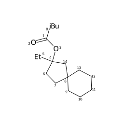 CCC(C)C(=O)OC1(CC)CCC2(CCCCC2)C1